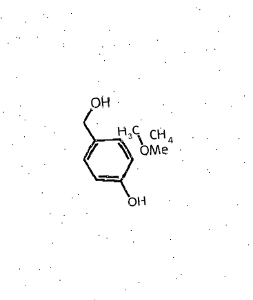 C.COC.OCc1ccc(O)cc1